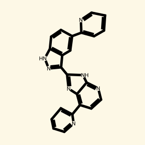 c1ccc(-c2ccc3[nH]nc(-c4nc5c(-c6ccccn6)ccnc5[nH]4)c3c2)nc1